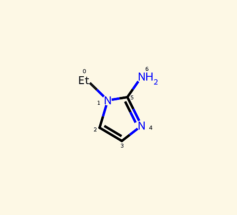 CCn1ccnc1N